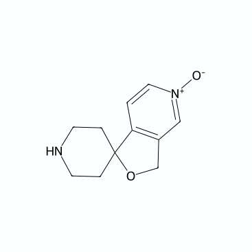 [O-][n+]1ccc2c(c1)COC21CCNCC1